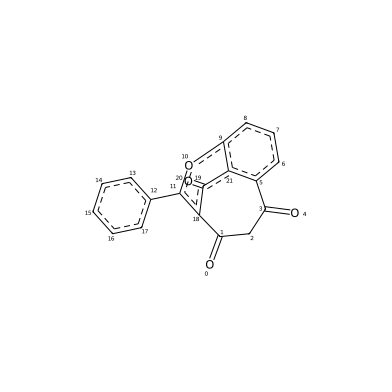 O=C1CC(=O)c2cccc3oc(-c4ccccc4)c1c(=O)c23